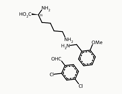 COc1ccccc1CN.NCCCC[C@H](N)C(=O)O.O=Cc1ccc(Cl)cc1Cl